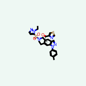 CCn1nccc1S(=O)(=O)N1CCC2=Cc3c(cnn3-c3ccc(C)cc3)C[C@]2(C(=O)c2cscn2)C1